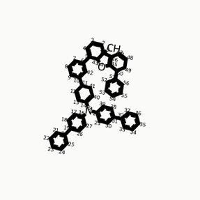 CC12C=CC=C(c3cccc(C4C=CC(N(c5ccc(-c6ccccc6)cc5)c5ccc(-c6ccccc6)cc5)=CC4)c3)C1OC1=C2C=CCC1c1ccccc1